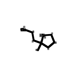 CC(C)(C)CCC1(C)CCCN1